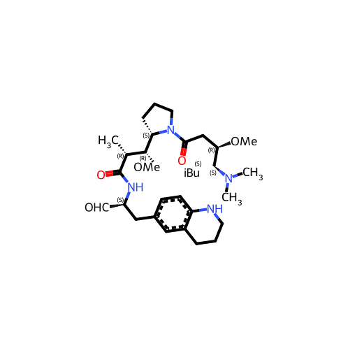 CC[C@H](C)[C@@H]([C@@H](CC(=O)N1CCC[C@H]1[C@H](OC)[C@@H](C)C(=O)N[C@H](C=O)Cc1ccc2c(c1)CCCN2)OC)N(C)C